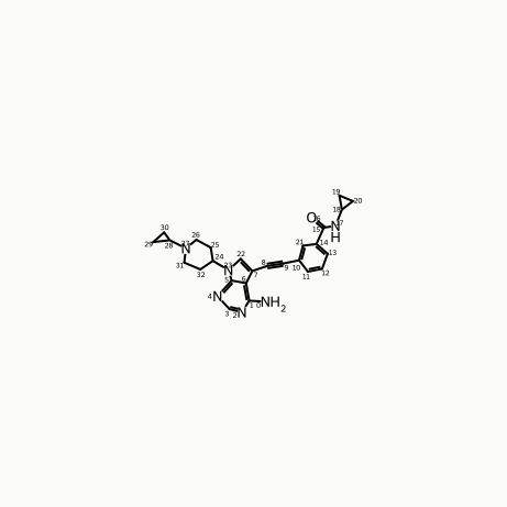 Nc1ncnc2c1c(C#Cc1cccc(C(=O)NC3CC3)c1)cn2C1CCN(C2CC2)CC1